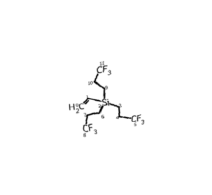 C=C[Si](CCC(F)(F)F)(CCC(F)(F)F)CCC(F)(F)F